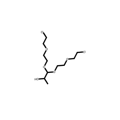 CC(O)C(OCCOCCCl)OCCOCCCl